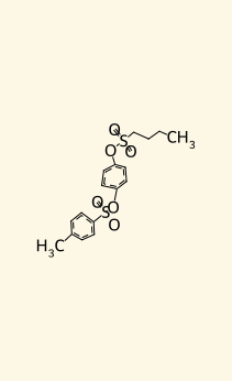 CCCCS(=O)(=O)Oc1ccc(OS(=O)(=O)c2ccc(C)cc2)cc1